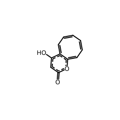 O=c1cc(O)c2/c(o1)=C\C=C/C=C\C=2